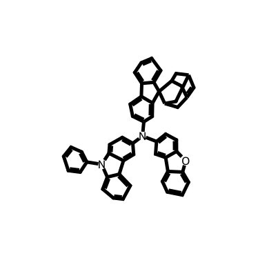 C1=C2CC3CC1CC(C2)C31c2ccccc2-c2ccc(N(c3ccc4oc5ccccc5c4c3)c3ccc4c(c3)c3ccccc3n4-c3ccccc3)cc21